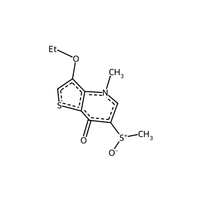 CCOc1csc2c(=O)c([S+](C)[O-])cn(C)c12